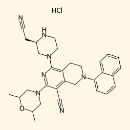 CC1CN(c2nc(N3CCN[C@H](CC#N)C3)c3c(c2C#N)CN(c2cccc4ccccc24)CC3)CC(C)O1.Cl